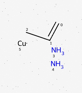 C=CC.N.N.[Cu]